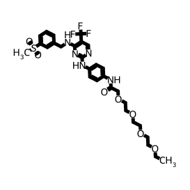 CCOCCOCCOCCOCC(=O)Nc1ccc(Nc2ncc(C(F)(F)F)c(NCc3cccc(S(C)(=O)=O)c3)n2)cc1